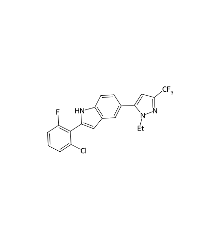 CCn1nc(C(F)(F)F)cc1-c1ccc2[nH]c(-c3c(F)cccc3Cl)cc2c1